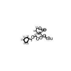 CC(C)(C)OC(=O)N1[C@H](C(=O)OCc2ccccc2)CCOS1=O